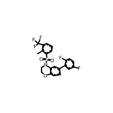 Cc1c(C(F)(F)F)cccc1S(=O)(=O)N1CCOc2ccc(-c3cc(F)ccc3F)cc21